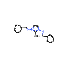 CCCCc1n(/N=C/c2ccccc2)cc[n+]1/N=C/c1ccccc1